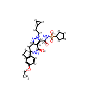 O=C1N[C@@]2(CCc3cc(OCC(F)(F)F)ccc32)Cc2nn(CCC3CC3)c(C(=O)NS(=O)(=O)C3CCCC3)c21